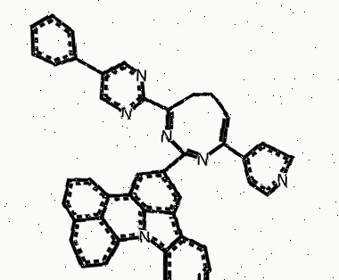 C1=C(c2ccncc2)/N=C(c2cc3c4cccc5cccc(c54)n4c5ccccc5c(c2)c34)\N=C(\c2ncc(-c3ccccc3)cn2)CC\1